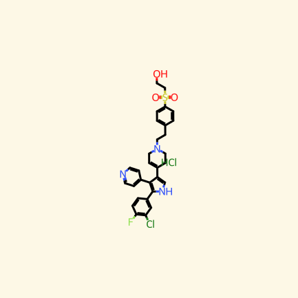 Cl.O=S(=O)(CCO)c1ccc(CCN2CC=C(c3c[nH]c(-c4ccc(F)c(Cl)c4)c3-c3ccncc3)CC2)cc1